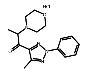 Cc1nn(-c2ccccc2)nc1C(=O)C(C)N1CCOCC1.Cl